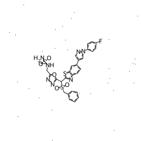 NS(=O)(=O)NCc1nnc(C(c2nc3ccc(-c4cnn(-c5ccc(F)cc5)c4)cc3s2)S(=O)(=O)Cc2ccccc2)o1